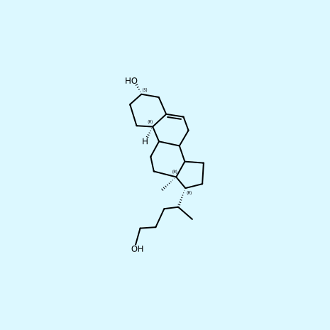 CC(CCCO)[C@H]1CCC2C3CC=C4C[C@@H](O)CC[C@@H]4C3CC[C@@]21C